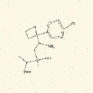 CSC(C)C(C)(O)CC(N)C1(c2ccc(Cl)cc2)CCC1